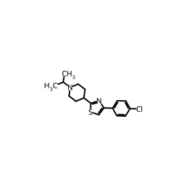 CC(C)N1CCC(c2nc(-c3ccc(Cl)cc3)cs2)CC1